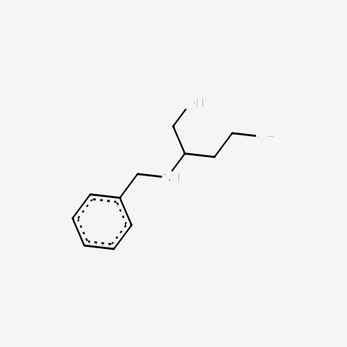 OCCC(CO)NCc1ccccc1